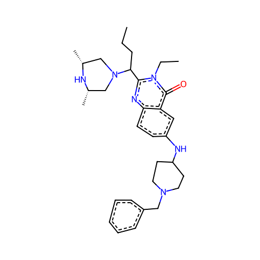 CCCC(c1nc2ccc(NC3CCN(Cc4ccccc4)CC3)cc2c(=O)n1CC)N1C[C@@H](C)N[C@@H](C)C1